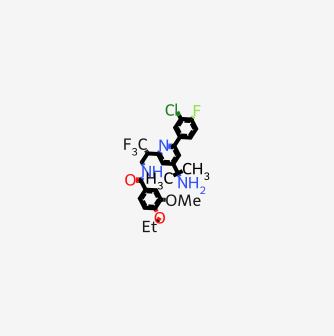 CCOc1ccc(C(=O)NCC(c2cc(C(C)(C)N)cc(-c3ccc(F)c(Cl)c3)n2)C(F)(F)F)cc1OC